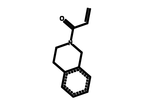 C=CC(=O)N1CCc2ccccc2C1